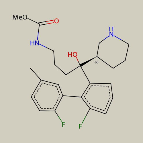 COC(=O)NCCCC(O)(c1cccc(F)c1-c1cc(C)ccc1F)[C@@H]1CCCNC1